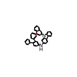 c1ccc(-c2ccc(Nc3ccc4c5ccccc5n(-c5ccc6ccccc6c5)c4c3)cc2-c2ccccc2)cc1